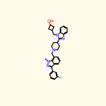 Cn1nc(-c2cccc(F)c2)c2cccc(CN3CCC(c4nc5ccccc5n4CC4CC(O)C4)CC3)c21